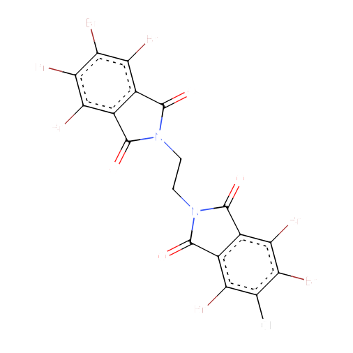 Cc1c(Br)c(Br)c2c(c1Br)C(=O)N(CCN1C(=O)c3c(Br)c(Br)c(Br)c(Br)c3C1=O)C2=O